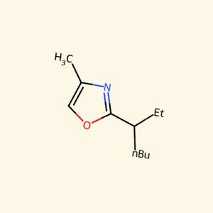 CCCCC(CC)c1nc(C)co1